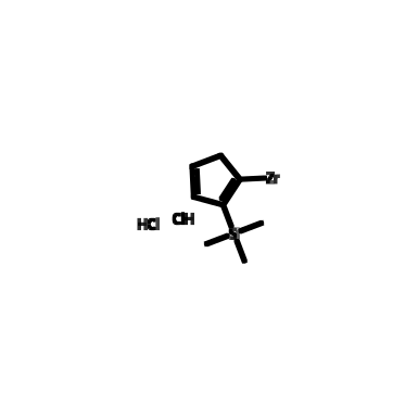 C[Si](C)(C)C1=[C]([Zr])CC=C1.Cl.Cl